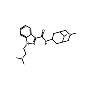 CN(C)CCn1nc(C(=O)NC2CC3CN(C)CC(C2)N3C)c2ccccc21